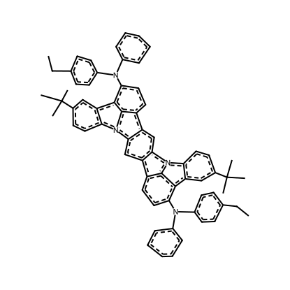 CCc1ccc(N(c2ccccc2)c2ccc3c4cc5c(cc4n4c6ccc(C(C)(C)C)cc6c2c34)c2ccc(N(c3ccccc3)c3ccc(CC)cc3)c3c4cc(C(C)(C)C)ccc4n5c23)cc1